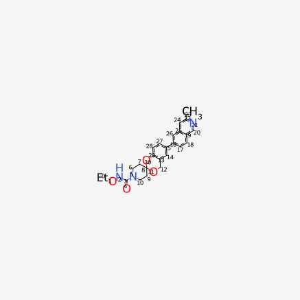 CCONC(=O)N1CCC2(CC1)OCc1cc(-c3ccc4cnc(C)cc4c3)ccc1O2